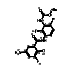 CC(C)(C)OC(=O)Nc1c(F)ccc(NC(=O)c2cc(N)cc(F)c2Cl)c1F